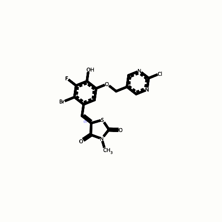 CN1C(=O)S/C(=C\c2cc(OCc3cnc(Cl)nc3)c(O)c(F)c2Br)C1=O